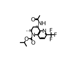 CC(=O)N[C@H]1C[C@@H](C)N(C(=O)OC(C)C)c2ccc(C(F)(F)F)nc21